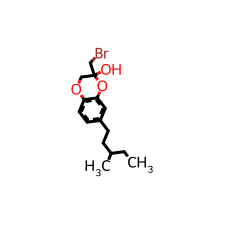 CCC(C)CCc1ccc2c(c1)OC(O)(CBr)CO2